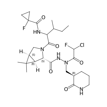 CCC(C)C(NC(=O)C1(F)CC1)C(=O)N1C[C@H]2[C@@H]([C@H]1C(=O)NN(C[C@H]1CCCNC1=O)C(=O)C(F)Cl)C2(C)C